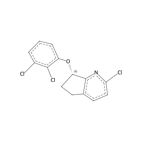 Clc1ccc2c(n1)[C@@H](Oc1cccc(Cl)c1Cl)CC2